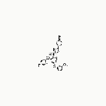 COc1cccc(Sc2cnc(Nc3nc(C4CCNCC4)cs3)c(Oc3ccc(F)cc3C)c2)c1